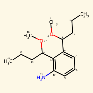 CCCC(OC)c1cccc(N)c1C(CCC)OC